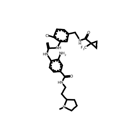 C=C(Nc1ccc(C(=O)NCCC2CCCN2C)cc1N)Nc1cc(CNC(=O)C2(C(F)(F)F)CC2)ccc1Cl